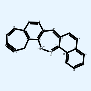 C1#CCc2c(ccc3c2NN=c2c(ccc4ccccc24)=C3)C=C1